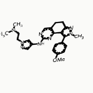 COc1ccc(-c2c3c(nn2C)CCc2cnc(Nc4cnn(CCN(C)C)c4)nc2-3)cc1